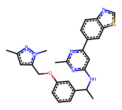 Cc1cc(COc2cccc(C(C)Nc3cc(-c4ccc5ncsc5c4)nc(C)n3)c2)n(C)n1